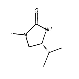 [CH2]N1C[C@@H](C(C)C)NC1=O